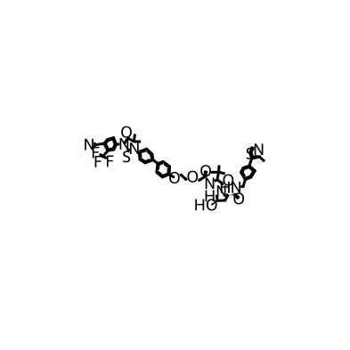 Cc1ncsc1-c1ccc(CNC(=O)[C@@H]2C[C@@H](O)CN2C(=O)C(NC(=O)COCCOc2ccc(-c3ccc(N4C(=S)N(c5ccc(C#N)c(C(F)(F)F)c5)C(=O)C4(C)C)cc3)cc2)C(C)(C)C)cc1